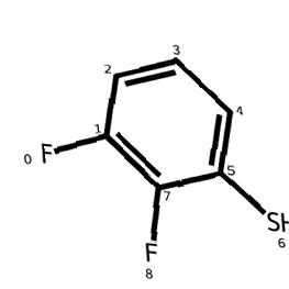 Fc1cccc(S)c1F